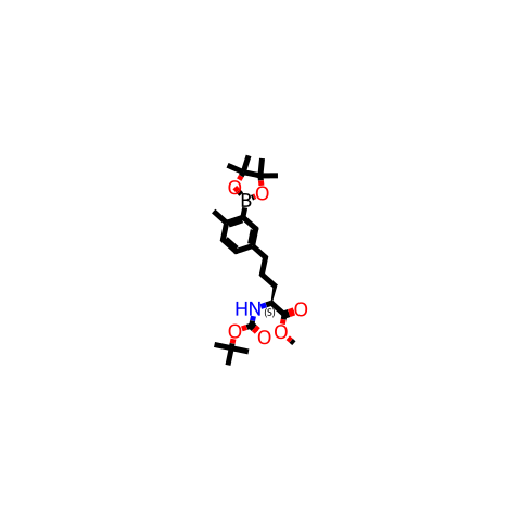 COC(=O)[C@H](CCCc1ccc(C)c(B2OC(C)(C)C(C)(C)O2)c1)NC(=O)OC(C)(C)C